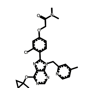 Cc1ccnc(Cn2c(-c3ccc(OCC(=O)N(C)C)cc3Cl)nc3c(OC4(C)CC4)ncnc32)c1